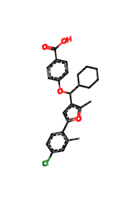 Cc1cc(Cl)ccc1-c1cc(C(Oc2ccc(C(=O)O)cc2)C2CCCCC2)c(C)o1